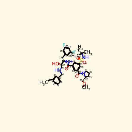 CCc1cccc(CNC[C@@H](O)[C@H](Cc2cc(F)cc(F)c2)NC(=O)c2cc(C(=O)N3CCC[C@H]3COC)cc(S(=O)(=O)NC(C)(C)C)c2)c1